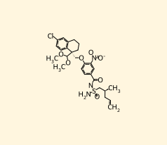 C=CC[C@H](C)CS(N)(=O)=NC(=O)c1ccc(OC[C@@]2(C(OC)OC)CCCc3cc(Cl)ccc32)c([N+](=O)[O-])c1